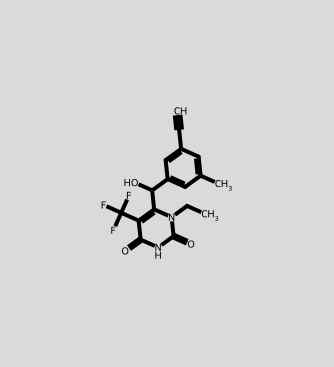 C#Cc1cc(C)cc(C(O)c2c(C(F)(F)F)c(=O)[nH]c(=O)n2CC)c1